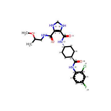 COC(C)CNC(=O)C1=C(C(=O)N[C@H]2CC[C@H](C(=O)Nc3ccc(F)cc3Cl)CC2)NCN1